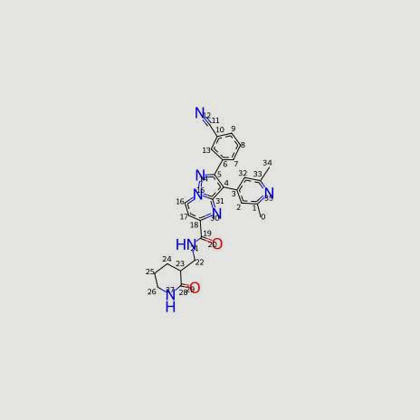 Cc1cc(-c2c(-c3cccc(C#N)c3)nn3ccc(C(=O)NCC4CCCNC4=O)nc23)cc(C)n1